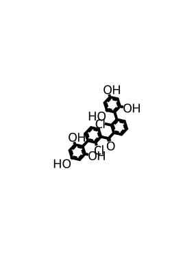 O=C(c1cccc(-c2c(O)cc(O)cc2O)c1Cl)c1cccc(-c2c(O)cc(O)cc2O)c1Cl